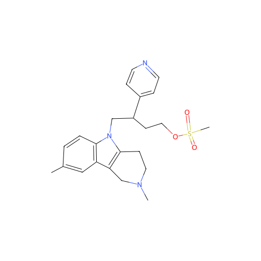 Cc1ccc2c(c1)c1c(n2CC(CCOS(C)(=O)=O)c2ccncc2)CCN(C)C1